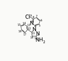 NC1=NN(c2cccc(Cl)n2)C(c2ccccc2)C1